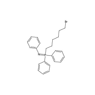 BrCCCCCCP(=Nc1ccccc1)(c1ccccc1)c1ccccc1